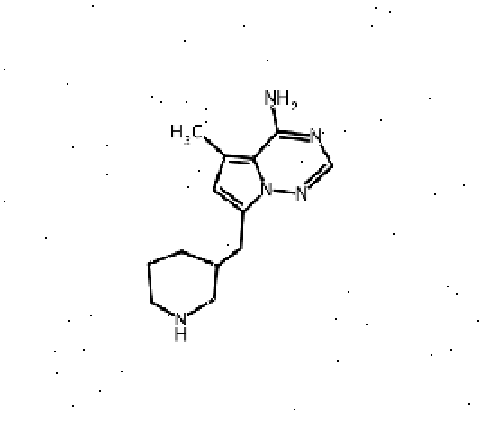 Cc1cc(CC2CCCNC2)n2ncnc(N)c12